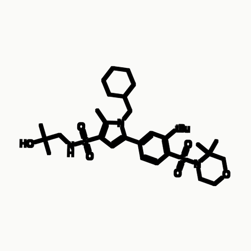 Cc1c(S(=O)(=O)NCC(C)(C)O)cc(-c2ccc(S(=O)(=O)N3CCOCC3(C)C)c(C(C)(C)C)c2)n1CC1CCCCC1